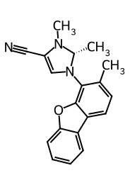 Cc1ccc2c(oc3ccccc32)c1N1C=C(C#N)N(C)[C@@H]1C